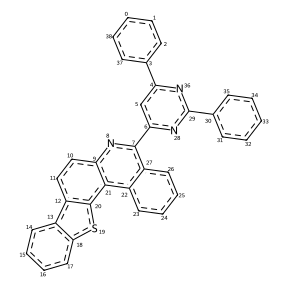 c1ccc(-c2cc(-c3nc4ccc5c6ccccc6sc5c4c4ccccc34)nc(-c3ccccc3)n2)cc1